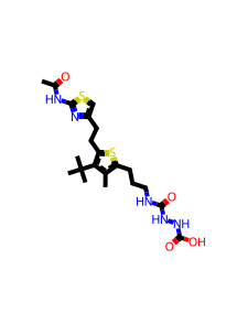 CC(=O)Nc1nc(CCc2sc(CCCNC(=O)NNC(=O)O)c(C)c2C(C)(C)C)cs1